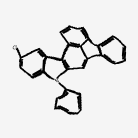 Clc1ccc2c(c1)c1c3cccc4c3c(cc1n2-c1ccccc1)-c1ccccc1-4